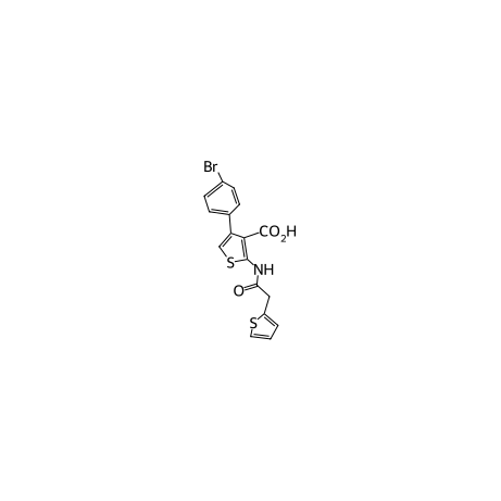 O=C(Cc1cccs1)Nc1scc(-c2ccc(Br)cc2)c1C(=O)O